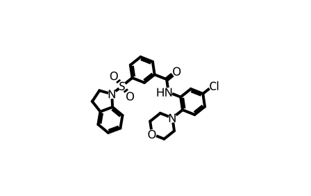 O=C(Nc1cc(Cl)ccc1N1CCOCC1)c1cccc(S(=O)(=O)N2CCc3ccccc32)c1